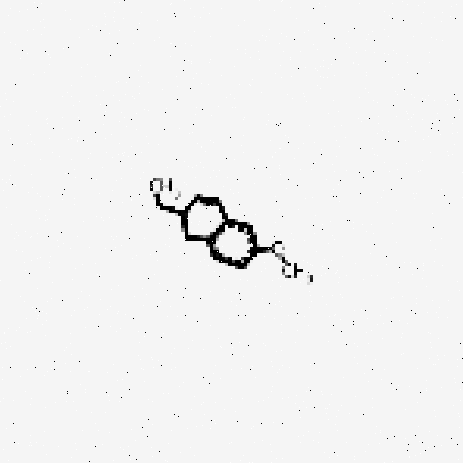 CCC1C=Cc2cc(OC)ccc2C1